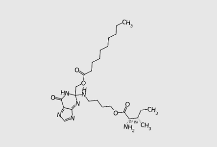 CCCCCCCCCC(=O)OCC1(NCCCCOC(=O)[C@@H](N)[C@@H](C)CC)N=C2N=CN=C2C(=O)N1